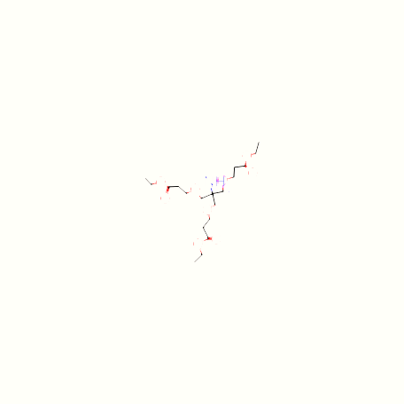 CCOC(=O)CCOCC(N)(COCCC(=O)OCC)COCCC(=O)OCC